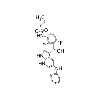 CCCS(=O)(=O)Nc1ccc(F)c(C(O)C2=CNC3NC=C(Nc4ccccc4)C=C23)c1F